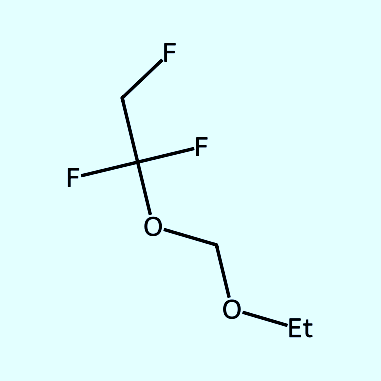 CCOCOC(F)(F)CF